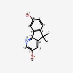 CC1(C)c2ccc(Br)cc2-c2ncc(Br)cc21